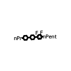 CCCCCc1ccc(C2CCC(C3CCC(CCC)CC3)CC2)c(F)c1F